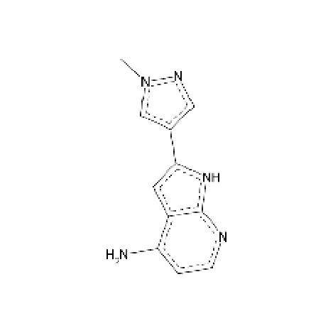 Cn1cc(-c2cc3c(N)ccnc3[nH]2)cn1